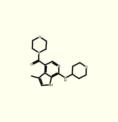 Cc1c[nH]c2c(NC3CCOCC3)ncc(C(=O)N3CCOCC3)c12